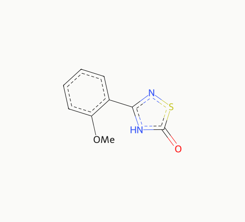 COc1ccccc1-c1nsc(=O)[nH]1